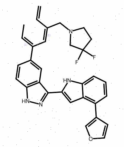 C=C/C(=C\C(=C/C)c1ccc2[nH]nc(-c3cc4c(-c5ccoc5)cccc4[nH]3)c2c1)CN1CCC(F)(F)C1